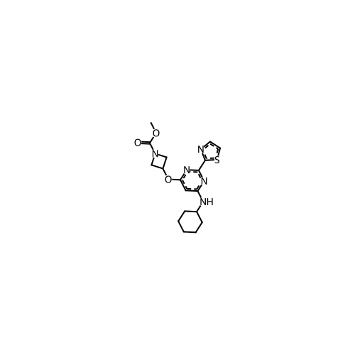 COC(=O)N1CC(Oc2cc(NC3CCCCC3)nc(-c3nccs3)n2)C1